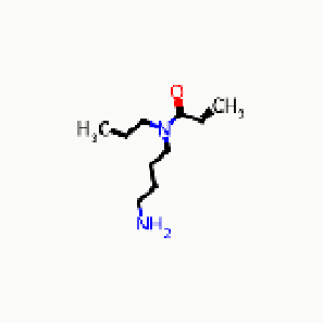 C=CC(=O)N(CCC)CCCCN